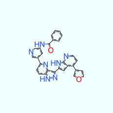 O=C(Nc1cncc(-c2ccc3[nH]nc(-c4cc5c(-c6ccoc6)ccnc5[nH]4)c3n2)c1)c1ccccc1